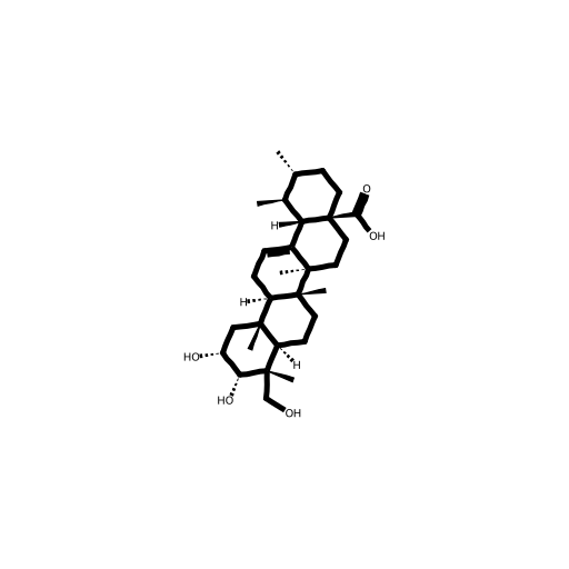 C[C@H]1[C@H](C)CC[C@]2(C(=O)O)CC[C@]3(C)C(=CC[C@@H]4[C@@]5(C)C[C@@H](O)[C@@H](O)[C@@](C)(CO)[C@@H]5CC[C@]43C)[C@H]12